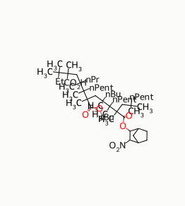 CCCCCC(C)(C)CC(C)(C(=O)OC1C2CCC(C2)C1[N+](=O)[O-])C(C)(CCCCC)C(C)(CCCC)CC(C)(C(=O)OC(C)(C)C)C(C)(CCCCC)C(C)(CCC)CC(C)(C(=O)O)C(C)(C)CC